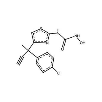 C#CC(C)(c1ccc(Cl)cc1)c1csc(NC(=O)NO)n1